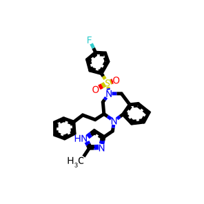 Cc1nc(CN2c3ccccc3CN(S(=O)(=O)c3ccc(F)cc3)CC2CCc2ccccc2)c[nH]1